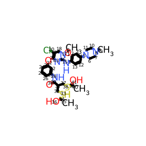 COc1cc(N2CCN(C)CC2)ccc1Nc1ncc(Cl)c(Oc2cccc(NC(=O)C(C[SH]=C(C)O)C[SH]=C(C)O)c2)n1